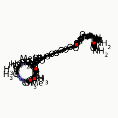 CO[C@H]1C[C@@H]2CC[C@@H](C)[C@@](O)(O2)C(=O)C(=O)N2CCCC[C@H]2C(=O)O[C@H]([C@H](N)C[C@@H]2CC[C@@H](OC(=O)NCCOCCOCCOCCOCCOCCOCCC(=O)N3CCC(N4CCC(C(=O)N5CCc6cc(Cn7nc(-c8ccc9oc(N)nc9c8)c8c(N)ncnc87)ccc6C5)CC4)CC3)[C@H](OC)C2)CC(=O)[C@H](C)/C=C(\C)[C@@H](O)[C@@H](O)C(=O)[C@H](C)C[C@H](C)/C=C/C=C/C=C/1C